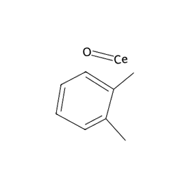 Cc1ccccc1C.[O]=[Ce]